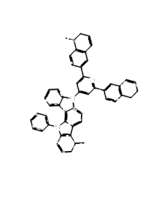 CC1CC=Cc2cc(-c3cc(-n4c5ccccc5c5c6c(ccc54)c4c(n6-c5ccccc5)C=CCC4C)cc(-c4ccc5c(c4)C=CCC5)n3)ccc21